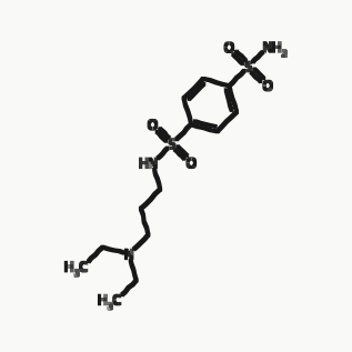 CCN(CC)CCCNS(=O)(=O)c1ccc(S(N)(=O)=O)cc1